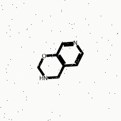 c1cc2c(cn1)OCNC2